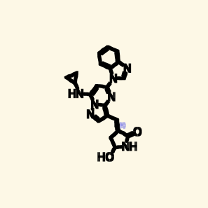 O=C1NC(O)C/C1=C\c1cnn2c(NC3CC3)cc(-n3cnc4ccccc43)nc12